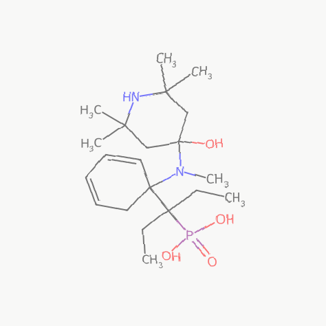 CCC(CC)(C1(N(C)C2(O)CC(C)(C)NC(C)(C)C2)C=CC=CC1)P(=O)(O)O